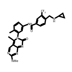 CNc1ncc2c(C)n(-c3cc(NC(=O)c4ccc(CNC5CC5)c(C(F)(F)F)c4)ccc3C)c(=O)nc2n1